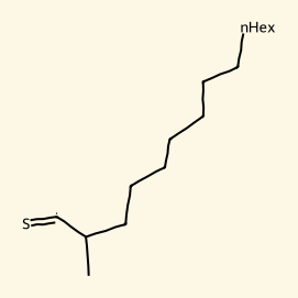 CCCCCCCCCCCCCC(C)[C]=S